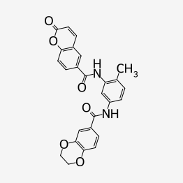 Cc1ccc(NC(=O)c2ccc3c(c2)OCCO3)cc1NC(=O)c1ccc2oc(=O)ccc2c1